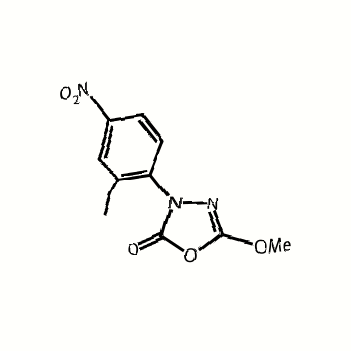 COc1nn(-c2ccc([N+](=O)[O-])cc2C)c(=O)o1